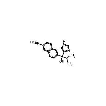 C#Cc1ccc2cc(C(O)(c3c[nH]cn3)C(C)C)ccc2c1